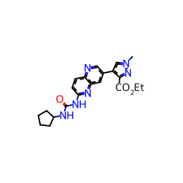 CCOC(=O)c1nn(C)cc1-c1cnc2ccc(NC(=O)NC3CCCC3)nc2c1